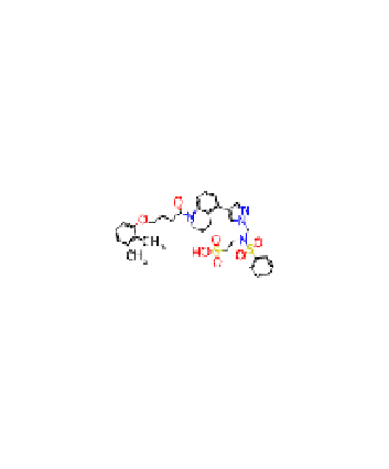 Cc1cccc(OCCCC(=O)N2CCCc3c(-c4cnn(CN(CCS(=O)(=O)O)S(=O)(=O)c5ccccc5)c4)cccc32)c1C